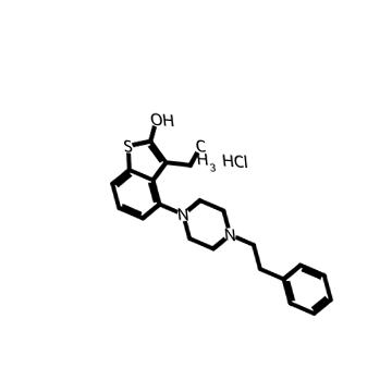 CCc1c(O)sc2cccc(N3CCN(CCc4ccccc4)CC3)c12.Cl